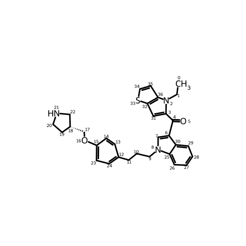 CCn1c(C(=O)c2cn(CCCc3ccc(OC[C@@H]4CCNC4)cc3)c3ccccc23)cc2sccc21